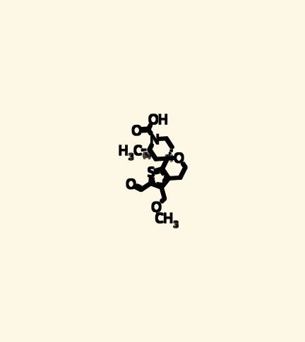 COCc1c(C=O)sc2c1CCO[C@@]21CCN(C(=O)O)[C@@H](C)C1